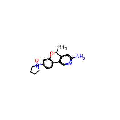 CC1Oc2cc([N+]3([O-])CCCC3)ccc2-c2cnc(N)cc21